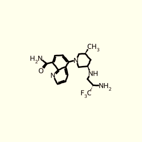 C[C@H]1C[C@@H](NC[C@H](N)C(F)(F)F)CN(c2ccc(C(N)=O)c3ncccc23)C1